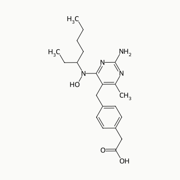 CCCCC(CC)N(O)c1nc(N)nc(C)c1Cc1ccc(CC(=O)O)cc1